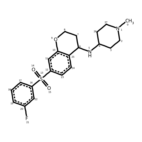 CN1CCC(NC2CCOc3cc(S(=O)(=O)c4cccc(F)c4)ccc32)CC1